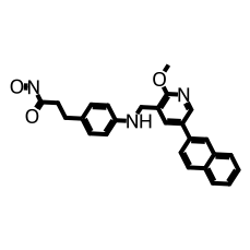 COc1ncc(-c2ccc3ccccc3c2)cc1CNc1ccc(CCC(=O)N=O)cc1